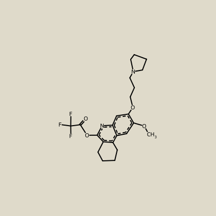 COc1cc2c3c(c(OC(=O)C(F)(F)F)nc2cc1OCCCN1CCCC1)CCCC3